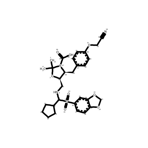 CC1(C)O[C@H](CNC(C2CCCC2)S(=O)(=O)c2ccc3c(c2)OCO3)[C@H](Cc2ccc(OCC#N)cc2)N1C(=O)O